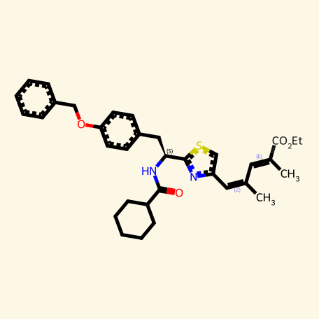 CCOC(=O)/C(C)=C/C(C)=C\c1csc([C@H](Cc2ccc(OCc3ccccc3)cc2)NC(=O)C2CCCCC2)n1